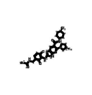 CC(C)(C)C(=O)NCc1ccc(Cl)c(Nc2nc3cc(C(=O)N[C@H]4CC[C@H](C(F)(F)F)CC4)c(N4CC[C@H](F)C4)nc3[nH]2)c1Cl